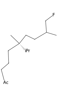 CC(=O)CCC[C@@](C)(CCC(C)CF)C(C)C